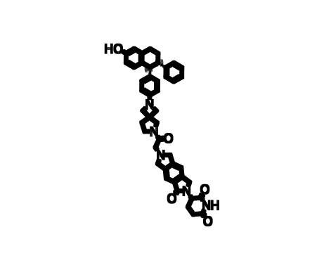 O=C1CCC(N2Cc3cc4c(cc3C2=O)CN(CC(=O)N2CCC3(C2)CN(c2ccc([C@@H]5c6ccc(O)cc6CC[C@@H]5c5ccccc5)cc2)C3)C4)C(=O)N1